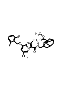 COC(=O)C12CC3CC(CC(CNC(=O)c4c(C)nc5c(OCc6c(F)cccc6F)cc(C)cn45)(C3)C1)C2